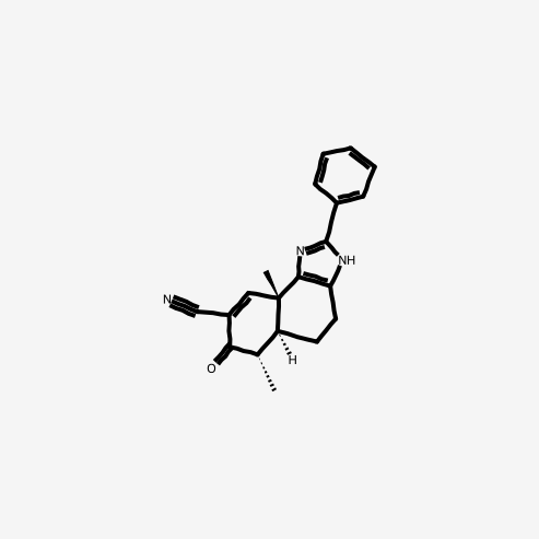 C[C@@H]1C(=O)C(C#N)=C[C@]2(C)c3nc(-c4ccccc4)[nH]c3CC[C@@H]12